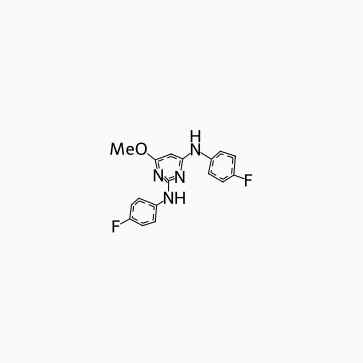 COc1cc(Nc2ccc(F)cc2)nc(Nc2ccc(F)cc2)n1